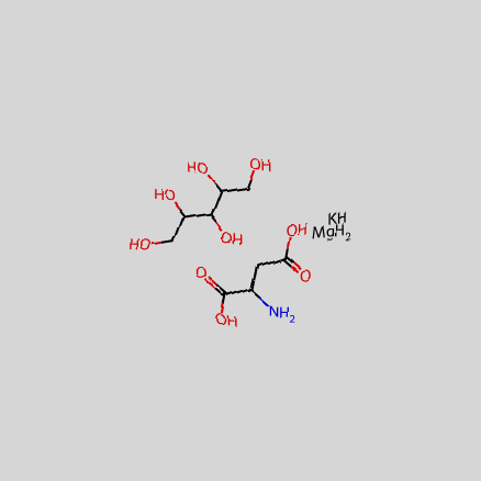 NC(CC(=O)O)C(=O)O.OCC(O)C(O)C(O)CO.[KH].[MgH2]